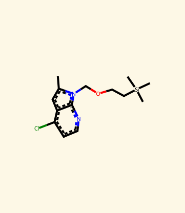 Cc1cc2c(Cl)ccnc2n1COCC[Si](C)(C)C